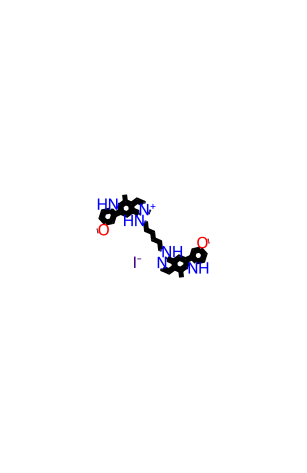 COc1ccc2[nH]c3c(C)c4ccnc(NCCCCCCNc5c6cc7c([nH]c8ccc(OC)cc87)c(C)c6cc[n+]5C)c4cc3c2c1.[I-]